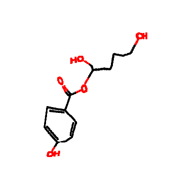 O=C(OC(O)CCCO)c1ccc(O)cc1